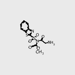 COC(=O)N(C(=O)CN)S(=O)(=O)c1nc2ccccc2s1